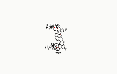 CC(C)(C)c1cccc(-c2cc(F)cc(F)c2N(c2ccc([Si](C)(C)C)cc2)c2ccc3ccc4c(N(c5ccc([Si](C)(C)C)cc5)c5c(F)cc(F)cc5-c5cccc(C(C)(C)C)c5)ccc5ccc2c3c54)c1